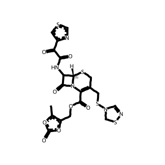 Cc1oc(=O)oc1COC(=O)C1=C(CSN2C=NSC2)CS[C@H]2C(NC(=O)C(=O)c3cscn3)C(=O)N12